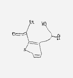 CCC(=O)c1sccc1C(O)CC